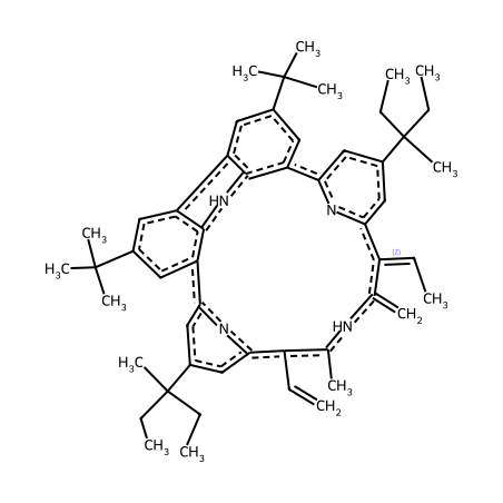 C=Cc1c(C)[nH]c(=C)/c(=C\C)c2cc(C(C)(CC)CC)cc(n2)c2cc(C(C)(C)C)cc3c4cc(C(C)(C)C)cc(c5cc(C(C)(CC)CC)cc1n5)c4[nH]c23